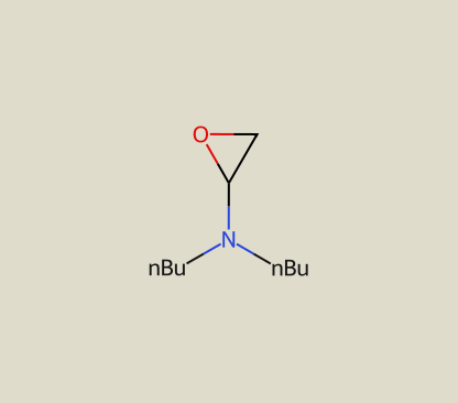 CCCCN(CCCC)C1CO1